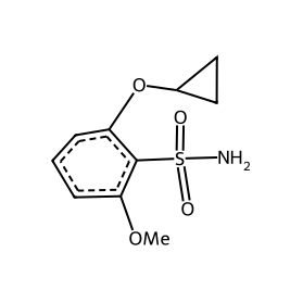 COc1cccc(OC2CC2)c1S(N)(=O)=O